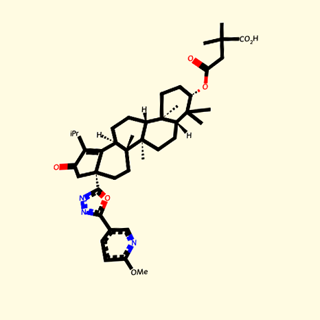 COc1ccc(-c2nnc([C@@]34CC[C@]5(C)[C@H](CC[C@@H]6[C@@]7(C)CC[C@H](OC(=O)CC(C)(C)C(=O)O)C(C)(C)[C@@H]7CC[C@]65C)C3=C(C(C)C)C(=O)C4)o2)cn1